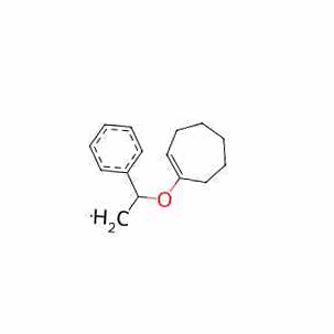 [CH2]C(OC1=CCCCCC1)c1ccccc1